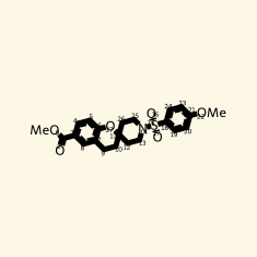 COC(=O)c1ccc2c(c1)CCC1(CCN(S(=O)(=O)c3ccc(OC)cc3)CC1)O2